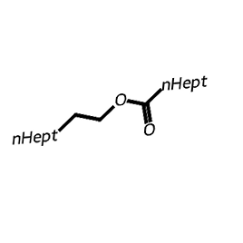 CCCCCCCCCOC(=O)CCCCCCC